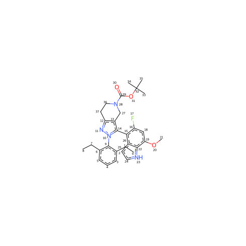 CCc1cccc(CC)c1-n1nc2c(c1-c1c(F)cc(OC)c3[nH]ccc13)CN(C(=O)OC(C)(C)C)CC2